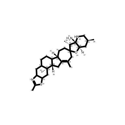 CC1=NC2CC3CCC4[C@@H]5CCC6(CC(C)=C5C[C@@H]4[C@@]3(C)CC2S1)O[C@@H]1C[C@H](C)CN[C@@]1(N)[C@H]6C